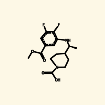 COC(=O)c1cc(F)c(F)c(N[C@@H](C)C2CCN(C(=O)O)CC2)c1